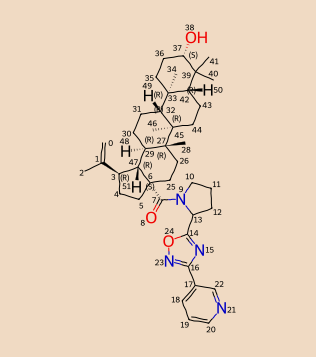 C=C(C)[C@@H]1CC[C@]2(C(=O)N3CCCC3c3nc(-c4cccnc4)no3)CC[C@]3(C)[C@H](CC[C@@H]4[C@@]5(C)CC[C@H](O)C(C)(C)[C@@H]5CC[C@]43C)[C@@H]12